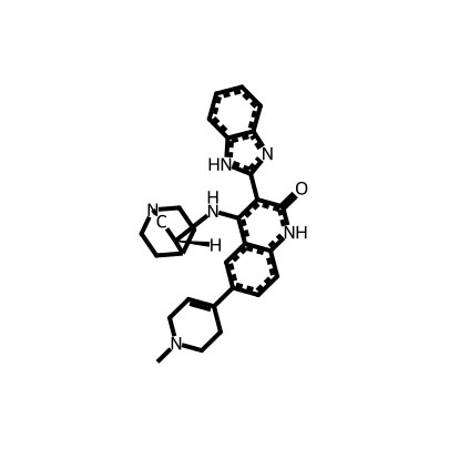 CN1CC=C(c2ccc3[nH]c(=O)c(-c4nc5ccccc5[nH]4)c(N[C@H]4CN5CCC4CC5)c3c2)CC1